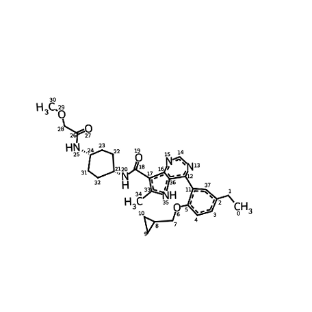 CCc1ccc(OCC2CC2)c(-c2ncnc3c(C(=O)N[C@H]4CC[C@@H](NC(=O)COC)CC4)c(C)[nH]c23)c1